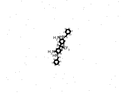 Nc1cc(C(F)(c2ccc(NCc3ccccc3)c(N)c2)C(F)(F)C(F)(F)F)ccc1NCc1ccccc1